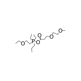 CCCP(CC)(CC)(CCOCC)OC(=O)CCOCCOC